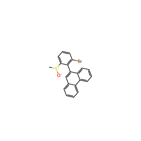 C[S+]([O-])c1cccc(Br)c1-c1cc2ccccc2c2ccccc12